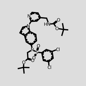 CC(C)(C)OC(=O)CN(c1ccc2c(ccn2-c2cc(CNC(=O)OC(C)(C)C)ccn2)c1)S(=O)(=O)c1cc(Cl)cc(Cl)c1